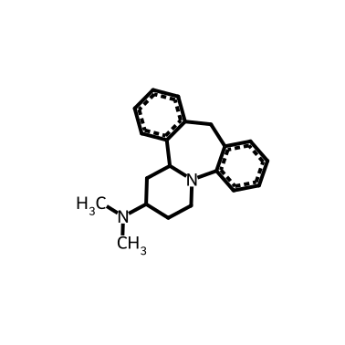 CN(C)C1CCN2c3ccccc3Cc3ccccc3C2C1